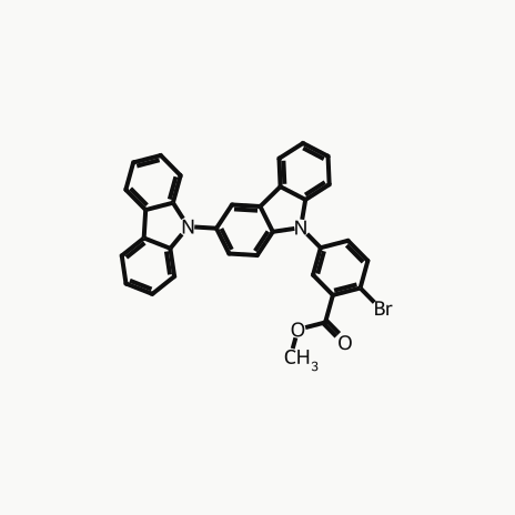 COC(=O)c1cc(-n2c3ccccc3c3cc(-n4c5ccccc5c5ccccc54)ccc32)ccc1Br